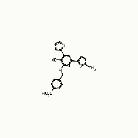 Cc1ccc(-c2cc(-c3ccco3)c(C#N)c(OCc3ccc(C(=O)O)cc3)n2)s1